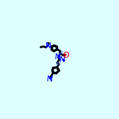 CCCN(C)c1ccc(/C=C2N=C(/C=C/c3ccc(C#N)cc3)N(C)C\2=O)cc1